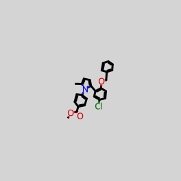 COC(=O)c1ccc(-n2c(C)ccc2-c2cc(Cl)ccc2OCc2ccccc2)cc1